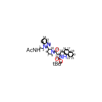 CC(=O)NCCn1c([C@@H]2CCCN(C(=O)C[C@@H](Cc3ccc4ccccc4c3)NC(=O)OC(C)(C)C)C2)nc2ccccc21